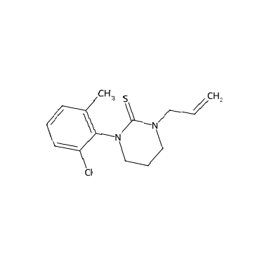 C=CCN1CCCN(c2c(C)cccc2Cl)C1=S